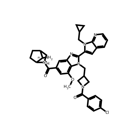 COc1cc(C(=O)N2CC3CCC2[C@@H]3N)cc2nc(-c3cc4cccnc4n3CC3CC3)n(CC3CN(C(=O)c4ccc(Cl)cc4)C3)c12